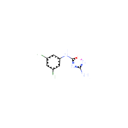 Nc1noc(Nc2cc(Cl)cc(Cl)c2)n1